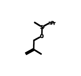 C=C(C)CO[Si](C)CCC